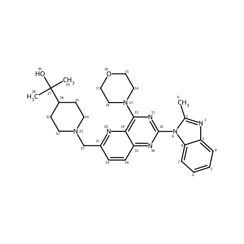 Cc1nc2ccccc2n1-c1nc(N2CCOCC2)c2nc(CN3CCC(C(C)(C)O)CC3)ccc2n1